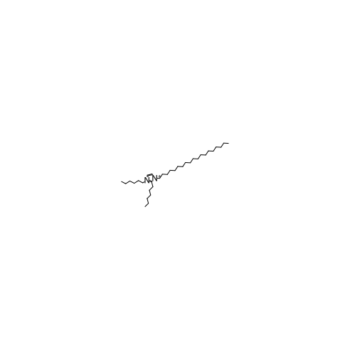 CCCCCCCCCCCCCCCCCCC[n+]1ccn(CCCCCC)c1CCCCCC